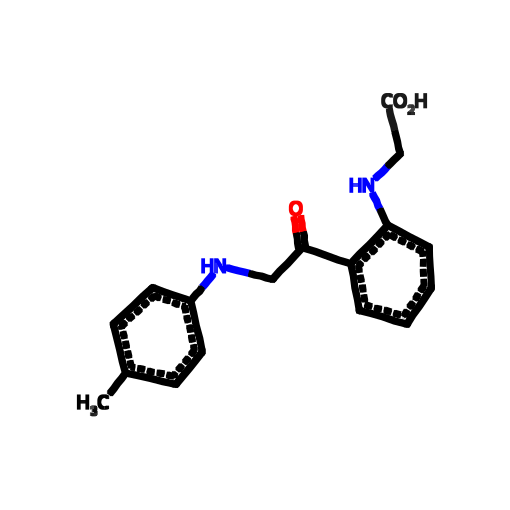 Cc1ccc(NCC(=O)c2ccccc2NCC(=O)O)cc1